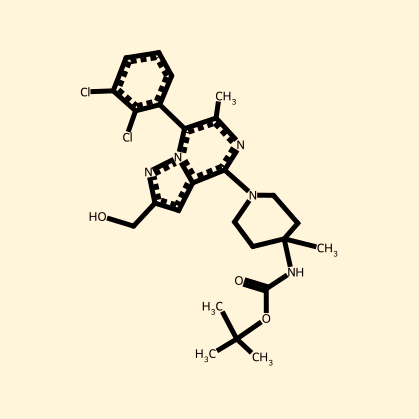 Cc1nc(N2CCC(C)(NC(=O)OC(C)(C)C)CC2)c2cc(CO)nn2c1-c1cccc(Cl)c1Cl